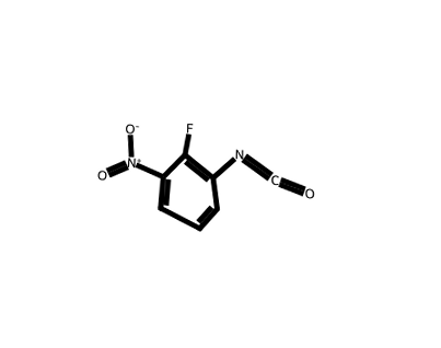 O=C=Nc1cccc([N+](=O)[O-])c1F